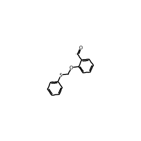 O=[C]c1ccccc1OCSc1ccccc1